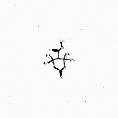 COC(=O)C1C(C)(C)CC(=O)CC1(C)C